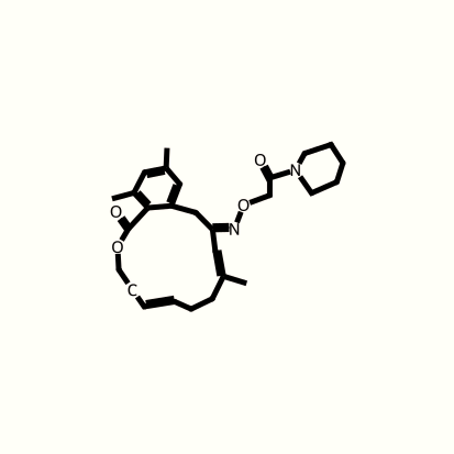 C/C1=C\C(=N\OCC(=O)N2CCCCC2)Cc2cc(C)cc(C)c2C(=O)OCC/C=C/CC1